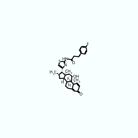 C[C@@H]1C[C@H]2[C@@H]3CCC4=CC(=O)C=C[C@]4(C)[C@@]3(F)[C@@H](O)C[C@]2(C)[C@H]1c1csc(NC(=O)CCc2ccc(F)cc2)n1